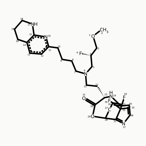 COC[C@@H](F)CN(CCCCc1ccc2c(n1)NCCC2)CC[C@@H]1NC2=C\CC(OC1=O)/C(C(F)(F)F)=N/C=C\2